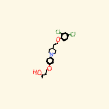 CC(O)CCOc1ccc(N2CCC(CCOc3ccc(Cl)cc3Cl)CC2)cc1